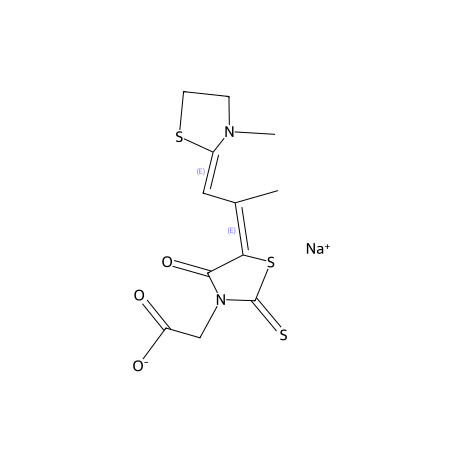 CC(/C=C1/SCCN1C)=C1\SC(=S)N(CC(=O)[O-])C1=O.[Na+]